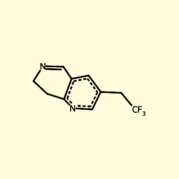 FC(F)(F)Cc1cnc2c(c1)C=NCC2